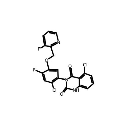 O=c1[nH]c2cccc(Cl)c2c(=O)n1-c1cc(OCc2ncccc2F)c(F)cc1Cl